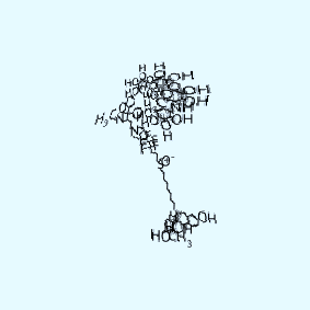 CCN1CC(CCN2CCOCC2)C(c2ccccc2)(c2ccccc2)C1=O.C[C@H]1O[C@H](O[C@H]2[C@H](O)[C@@H](O)[C@@H](O[C@H]3[C@H](O)[C@@H](O)[C@H](O)O[C@@H]3CO)O[C@@H]2CO)[C@H](O)[C@@H](O)[C@@H]1N[C@H]1C=C(CO)[C@@H](O)[C@H](O)[C@H]1O.C[C@]12CC[C@@H]3c4ccc(O)cc4C[C@@H](CCCCCCCCC[S+]([O-])CCCC(F)(F)C(F)(F)F)[C@H]3[C@@H]1CC[C@@H]2O